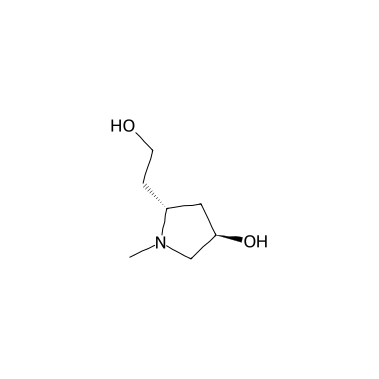 CN1C[C@H](O)C[C@H]1CCO